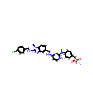 Cn1c(NCc2ccc(Cl)cc2)nc2cc(CNc3ccnc(Nc4ccc(CS(N)(=O)=O)cc4)n3)ccc21